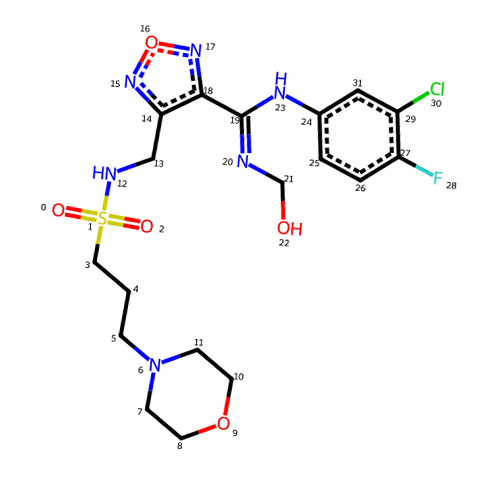 O=S(=O)(CCCN1CCOCC1)NCc1nonc1C(=NCO)Nc1ccc(F)c(Cl)c1